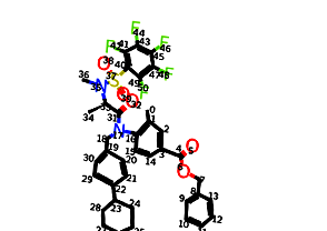 Cc1cc(C(=O)OCc2ccccc2)ccc1N(Cc1ccc(C2CCCCC2)cc1)C(=O)[C@@H](C)N(C)S(=O)(=O)c1c(F)c(F)c(F)c(F)c1F